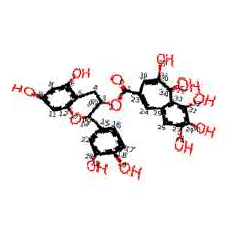 O=C(O[C@@H]1Cc2c(O)cc(O)cc2O[C@@H]1c1ccc(O)c(O)c1)C1=Cc2cc(O)c(O)c(O)c2C(O)C(O)=C1